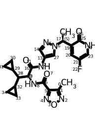 Cc1nonc1C(=O)N[C@H](C(=O)Nc1cnn([C@@H](C)c2cc(F)c[nH]c2=O)c1)C(C1CC1)C1CC1